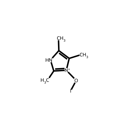 Cc1[nH]c(C)[n+](OI)c1C